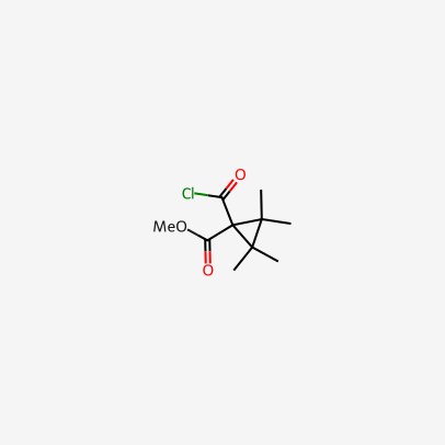 COC(=O)C1(C(=O)Cl)C(C)(C)C1(C)C